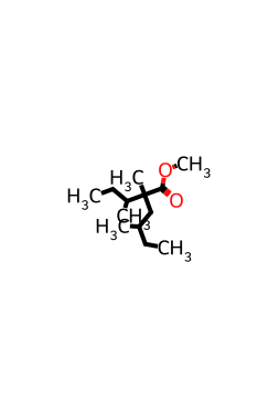 CCC(C)CC(C)(C(=O)OC)C(C)CC